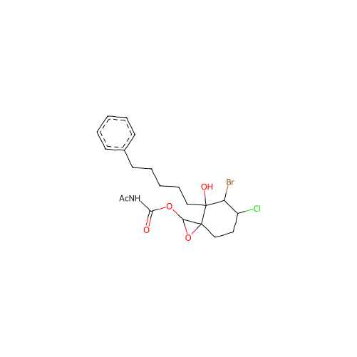 CC(=O)NC(=O)OC1OC12CCC(Cl)C(Br)C2(O)CCCCCc1ccccc1